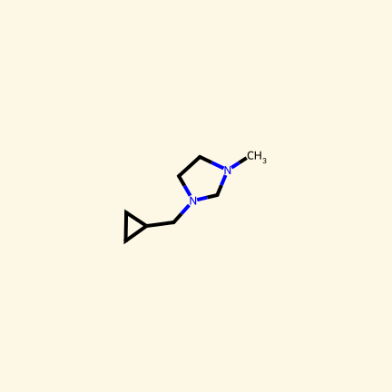 CN1CCN(CC2CC2)C1